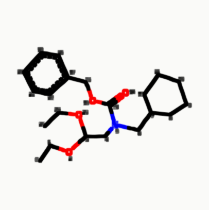 CCOC(CN(CC1CCCCC1)C(=O)OCc1ccccc1)OCC